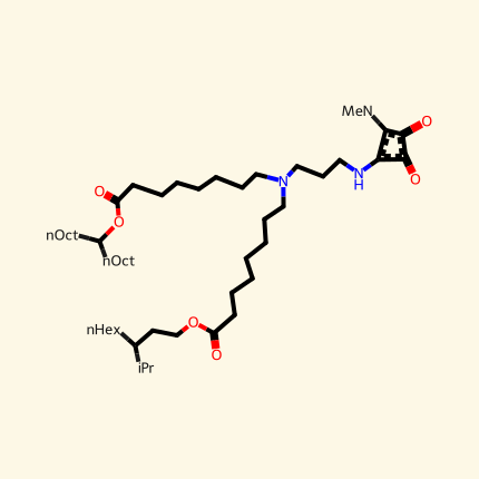 CCCCCCCCC(CCCCCCCC)OC(=O)CCCCCCCN(CCCCCCCC(=O)OCCC(CCCCCC)C(C)C)CCCNc1c(NC)c(=O)c1=O